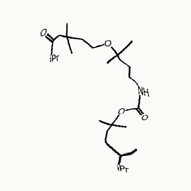 CC(C)C(=O)C(C)(C)CCOC(C)(C)CCNC(=O)OC(C)(C)CC(C)C(C)C